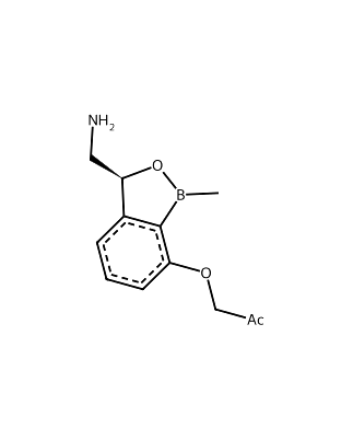 CB1O[C@H](CN)c2cccc(OCC(C)=O)c21